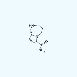 NC(=O)C1C=CC2=CNCCCN21